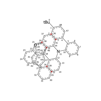 CC(C)(C)c1ccc(-c2ccccc2N(c2ccccc2-c2cccc3cccc(-c4ccccc4)c23)c2cccc3oc4ccccc4c23)cc1